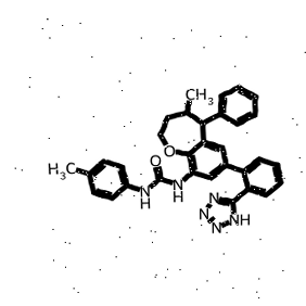 Cc1ccc(NC(=O)Nc2cc(-c3ccccc3-c3nnn[nH]3)cc3c2OCCC(C)C3c2ccccc2)cc1